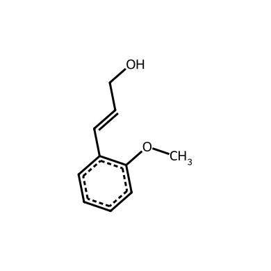 COc1ccccc1/C=C/CO